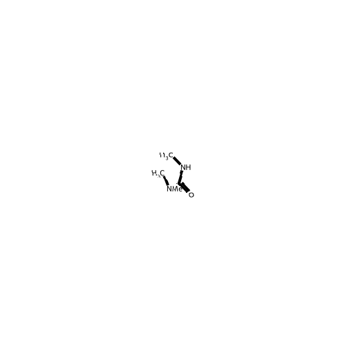 CNC.CN[C]=O